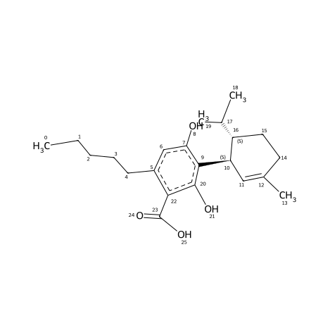 CCCCCc1cc(O)c([C@@H]2C=C(C)CC[C@H]2C(C)C)c(O)c1C(=O)O